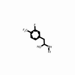 CCNC(O)Cc1ccc(C(F)(F)F)c(F)c1